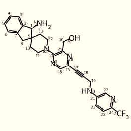 N[C@@H]1c2ccccc2CC12CCN(c1ncc(C#CCNc3ccc(C(F)(F)F)nc3)nc1CO)CC2